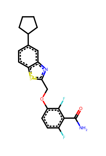 NC(=O)c1c(F)ccc(OCc2nc3cc(C4CCCC4)ccc3s2)c1F